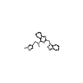 CN(Cc1cnn(C)c1)c1nc(Cn2nnc3ccccc32)nc2ccccc12